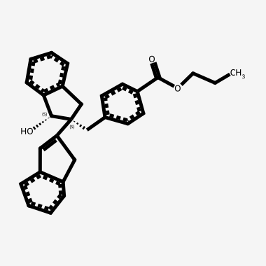 CCCOC(=O)c1ccc(C[C@@]2(C3=Cc4ccccc4C3)Cc3ccccc3[C@H]2O)cc1